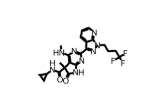 CNc1nc(-c2nn(CCCC(F)(F)F)c3ncccc23)nc2c1C(C)(C(=O)NC1CC1)C(=O)N2